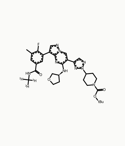 [2H]C([2H])([2H])NC(=O)c1cc(C)c(F)c(-c2cnn3cc(-c4cnn(C5CCN(C(=O)OC(C)(C)C)CC5)n4)c(N[C@H]4CCOC4)nc23)c1